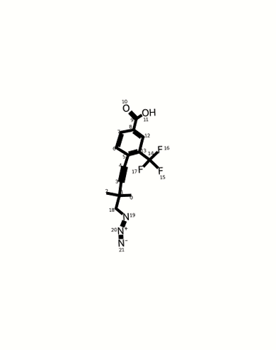 CC(C)(C#Cc1ccc(C(=O)O)cc1C(F)(F)F)CN=[N+]=[N-]